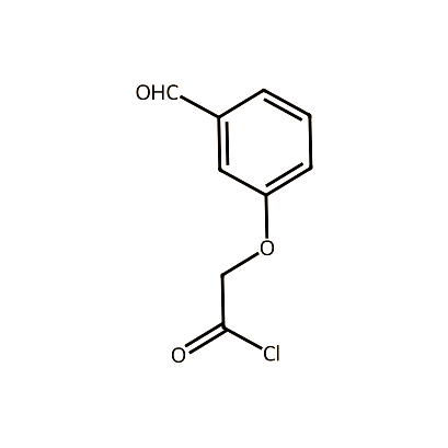 O=Cc1cccc(OCC(=O)Cl)c1